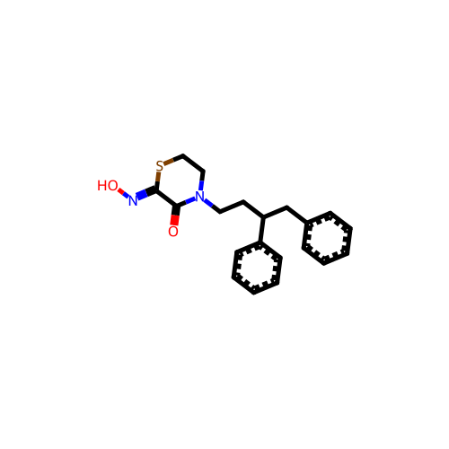 O=C1C(=NO)SCCN1CCC(Cc1ccccc1)c1ccccc1